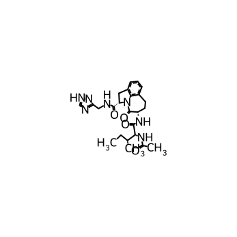 CC[C@H](C)[C@H](NC(C)=O)C(=O)N[C@H]1CCc2cccc3c2N(C1=O)[C@H](C(=O)NCc1nc[nH]n1)C3